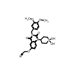 COc1ccc(Cn2c(=O)c3cc(OCC#N)ccc3n(C3CCS(O)(O)CC3)c2=O)cc1OC